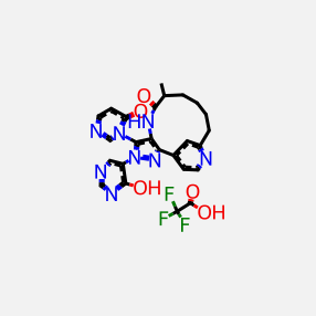 CC1CCCCc2cc(ccn2)-c2nn(-c3cncnc3O)c(-n3cnccc3=O)c2NC1=O.O=C(O)C(F)(F)F